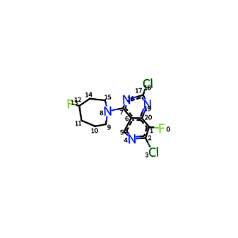 Fc1c(Cl)ncc2c(N3CCCC(F)CC3)nc(Cl)nc12